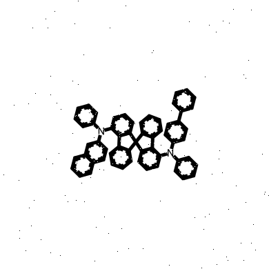 c1ccc(-c2ccc(N(c3ccccc3)c3cccc4c3-c3ccccc3C43c4ccccc4-c4c(N(c5ccccc5)c5ccc6ccccc6c5)cccc43)cc2)cc1